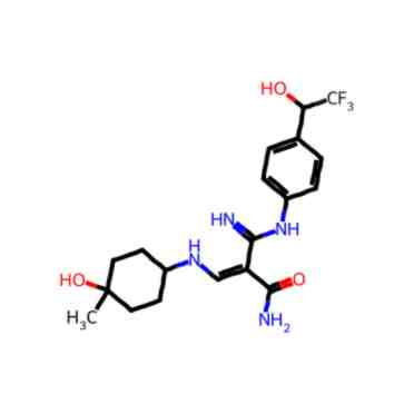 CC1(O)CCC(N/C=C(\C(=N)Nc2ccc(C(O)C(F)(F)F)cc2)C(N)=O)CC1